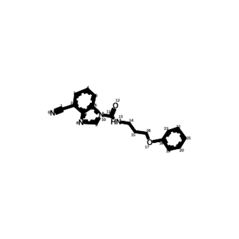 N#Cc1cccc2c1ncn2C(=O)NCCCOc1ccccc1